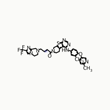 Cc1ccc(Oc2ccc(Nc3ncnc4sc5c(c34)CCN(C(=O)/C=C/CN3CCn4cc(C(F)(F)F)nc4C3)C5)cc2C)cn1